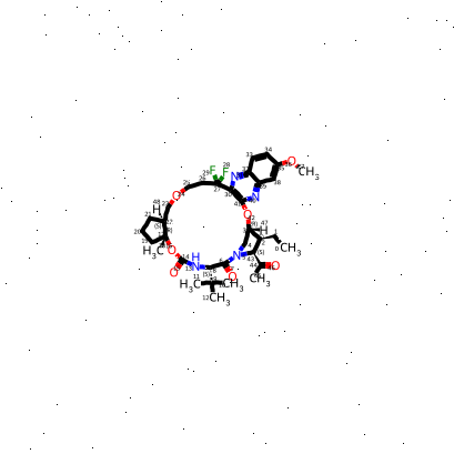 CC[C@@H]1[C@@H]2CN(C(=O)[C@H](C(C)(C)C)NC(=O)O[C@]3(C)CCC[C@H]3COCCC(F)(F)c3nc4ccc(OC)cc4nc3O2)[C@@H]1C(C)=O